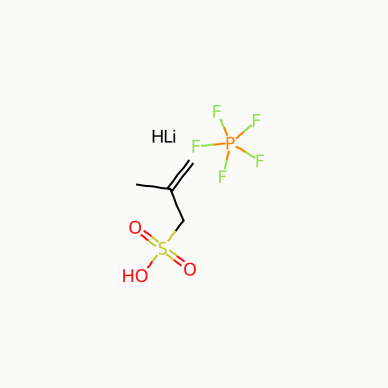 C=C(C)CS(=O)(=O)O.FP(F)(F)(F)F.[LiH]